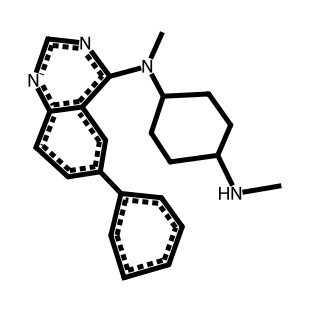 CNC1CCC(N(C)c2ncnc3ccc(-c4ccccc4)cc23)CC1